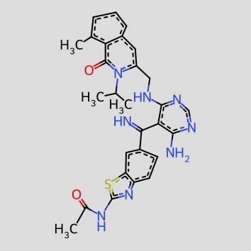 CC(=O)Nc1nc2ccc(C(=N)c3c(N)ncnc3NCc3cc4cccc(C)c4c(=O)n3C(C)C)cc2s1